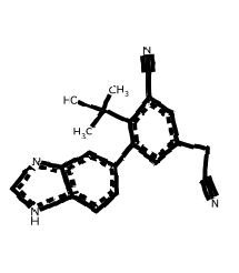 CC(C)(O)c1c(C#N)cc(CC#N)cc1-c1ccc2[nH]cnc2c1